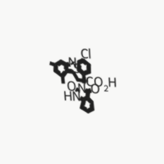 Cc1cc(C)c2c(C[C@](C(=O)O)(c3ccc(Cl)cc3)n3c(=O)[nH]c4ccccc4c3=O)snc2c1